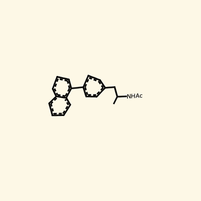 CC(=O)NC(C)Cc1ccc(-c2cccc3ccccc23)cc1